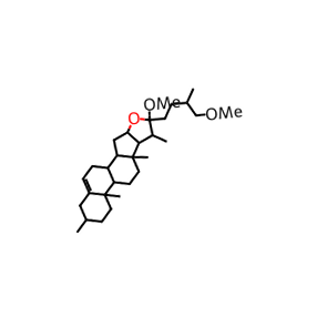 COCC(C)CCC1(OC)OC2CC3C4CC=C5CC(C)CCC5(C)C4CCC3(C)C2C1C